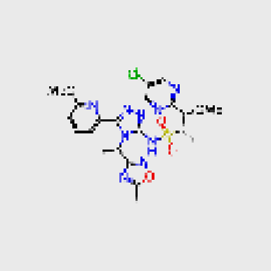 COc1cccc(-c2nnc(NS(=O)(=O)[C@@H](C)[C@H](OC)c3ncc(Cl)cn3)n2[C@H](C)c2noc(C)n2)n1